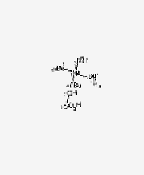 CCCC[N+](CCCC)(CCCC)CCCC.N.O=S(=O)(O)O